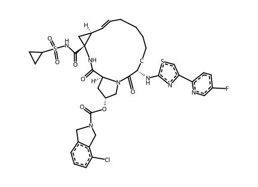 O=C1N[C@]2(C(=O)NS(=O)(=O)C3CC3)C[C@H]2/C=C\CCCCC[C@H](Nc2nc(-c3ccc(F)cn3)cs2)C(=O)N2C[C@H](OC(=O)N3Cc4cccc(Cl)c4C3)C[C@@H]12